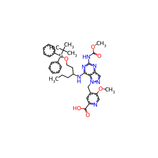 CCCC(CCO[Si](c1ccccc1)(c1ccccc1)C(C)(C)C)Nc1nc(NC(=O)OC)nc2cnn(Cc3cc(C(=O)O)ncc3OC)c12